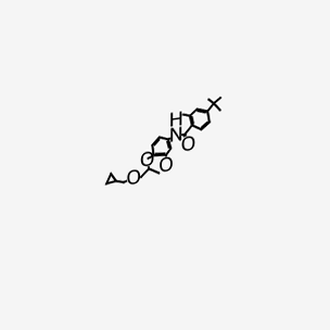 Cc1cc(C(C)(C)C)ccc1C(=O)Nc1ccc2c(c1)OCC(COCC1CC1)O2